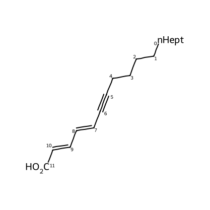 CCCCCCCCCCCC#CC=CC=CC(=O)O